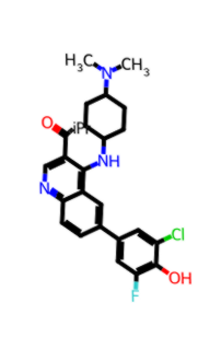 CC(C)C(=O)c1cnc2ccc(-c3cc(F)c(O)c(Cl)c3)cc2c1NC1CCC(N(C)C)CC1